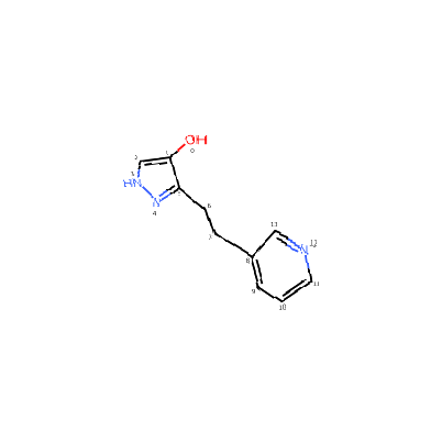 Oc1c[nH]nc1CCc1cccnc1